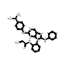 C=CC(=O)Nc1ccccc1-n1c(Nc2ccccc2)nc2cnc(Nc3ccc(C(C)C)cc3)nc21